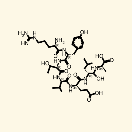 CC(C)C[C@@H](NC(=O)[C@@H](CCC(=O)O)NC(=O)[C@H](NC(=O)[C@H](NC(=O)[C@@H](Cc1ccc(O)cc1)NC(=O)[C@H](N)CCCNC(=N)N)C(C)O)C(C)C)C(O)N[C@H](C)C(=O)O